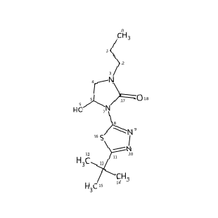 CCCN1CC(O)N(c2nnc(C(C)(C)C)s2)C1=O